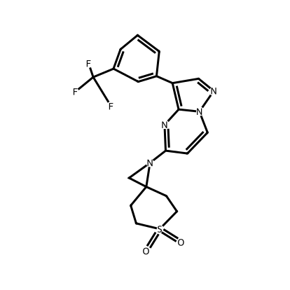 O=S1(=O)CCC2(CC1)CN2c1ccn2ncc(-c3cccc(C(F)(F)F)c3)c2n1